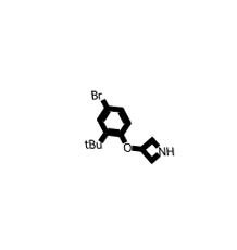 CC(C)(C)c1cc(Br)ccc1OC1CNC1